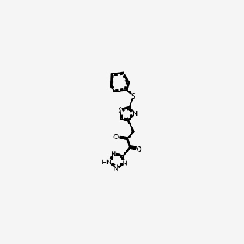 O=C(Cc1csc(Sc2ccccc2)n1)C(=O)c1nn[nH]n1